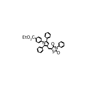 CCOC(=O)c1ccc(-n2c(-c3ccccc3)cc(C=C3SC(=O)N(c4ccccc4)C3=O)c2-c2ccccc2)cc1